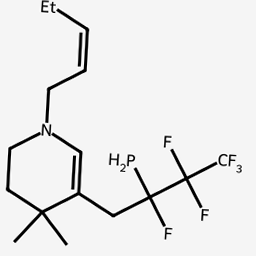 CC/C=C\CN1C=C(CC(F)(P)C(F)(F)C(F)(F)F)C(C)(C)CC1